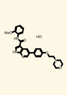 COc1ccccc1NC(=O)c1c[nH]c2ncc(-c3ccc(OCCN4CCOCC4)cc3)cc12.Cl